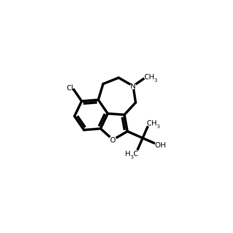 CN1CCc2c(Cl)ccc3oc(C(C)(C)O)c(c23)C1